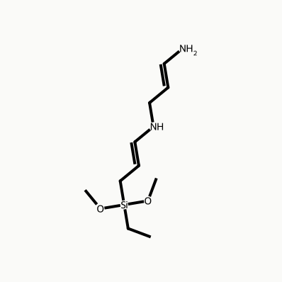 CC[Si](CC=CNCC=CN)(OC)OC